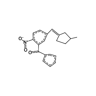 CC1CC/C(=C\c2ccc([N+](=O)[O-])c(C(=O)c3ccccc3)c2)C1